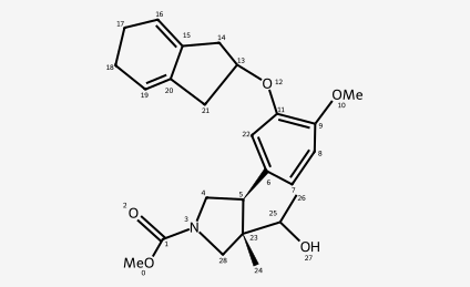 COC(=O)N1C[C@@H](c2ccc(OC)c(OC3CC4=CCCC=C4C3)c2)[C@](C)(C(C)O)C1